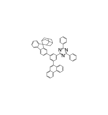 c1ccc(-c2nc(-c3ccccc3)nc(-c3cc(-c4ccc5c(c4)C4(c6ccccc6-5)C5CC6CC(C5)CC4C6)cc(-c4cc5ccccc5c5ccccc45)c3)n2)cc1